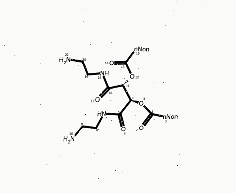 CCCCCCCCCC(=O)O[C@@H](C(=O)NCCN)[C@@H](OC(=O)CCCCCCCCC)C(=O)NCCN